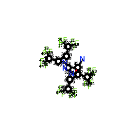 N#Cc1cccc(-c2cc(-n3c4ccc(-c5cc(C(F)(F)F)cc(C(F)(F)F)c5)cc4c4cc(-c5cc(C(F)(F)F)cc(C(F)(F)F)c5)ccc43)ncc2-n2c3ccc(-c4cc(C(F)(F)F)cc(C(F)(F)F)c4)cc3c3cc(-c4cc(C(F)(F)F)cc(C(F)(F)F)c4)ccc32)c1